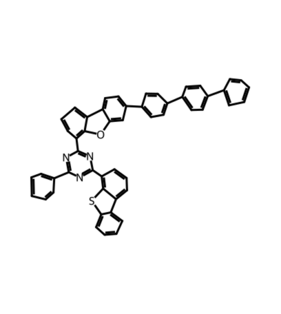 c1ccc(-c2ccc(-c3ccc(-c4ccc5c(c4)oc4c(-c6nc(-c7ccccc7)nc(-c7cccc8c7sc7ccccc78)n6)cccc45)cc3)cc2)cc1